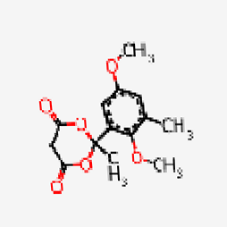 COc1cc(C)c(OC)c(C2(C)OC(=O)CC(=O)O2)c1